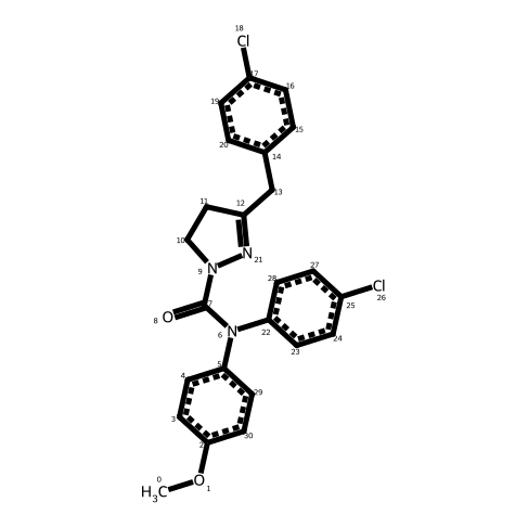 COc1ccc(N(C(=O)N2CCC(Cc3ccc(Cl)cc3)=N2)c2ccc(Cl)cc2)cc1